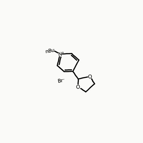 CCCC[n+]1ccc(C2OCCO2)cc1.[Br-]